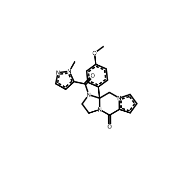 COc1ccc(C23Cn4cccc4C(=O)N2CCN3C(=O)c2ccnn2C)cc1